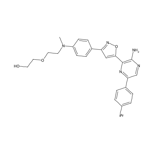 CC(C)c1ccc(-c2cnc(N)c(-c3cc(-c4ccc(N(C)CCOCCO)cc4)no3)n2)cc1